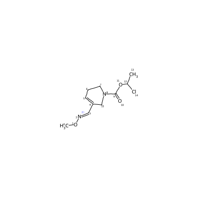 CO/N=C/C1=CCCN(C(=O)OC(C)Cl)C1